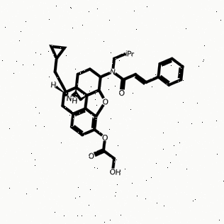 CC(C)CN(C(=O)/C=C/c1ccccc1)C1CC[C@H]2[C@H]3Cc4ccc(OC(=O)CO)c5c4[C@@]2(CCN3CC2CC2)C1O5